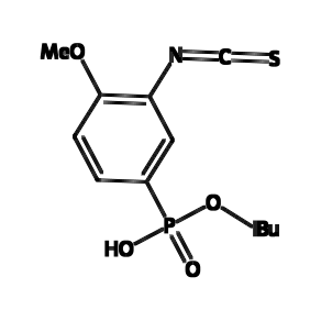 CCC(C)OP(=O)(O)c1ccc(OC)c(N=C=S)c1